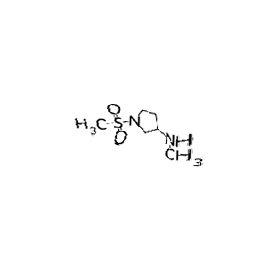 CNC1CCN(S(C)(=O)=O)C1